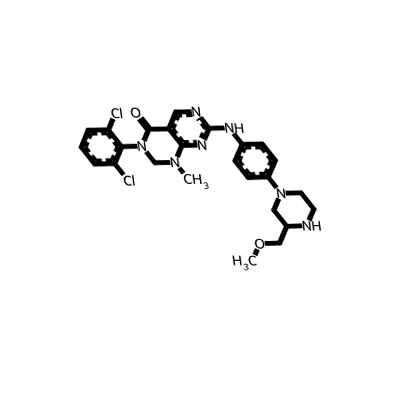 COCC1CN(c2ccc(Nc3ncc4c(n3)N(C)CN(c3c(Cl)cccc3Cl)C4=O)cc2)CCN1